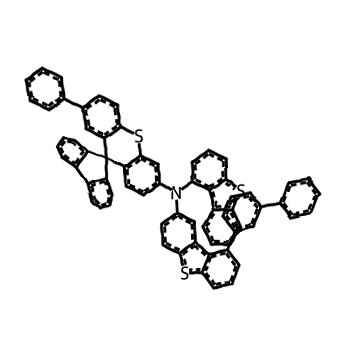 c1ccc(-c2cccc(-c3cccc4sc5ccc(N(c6ccc7c(c6)Sc6ccc(-c8ccccc8)cc6C76c7ccccc7-c7ccccc76)c6cccc7sc8ccccc8c67)cc5c34)c2)cc1